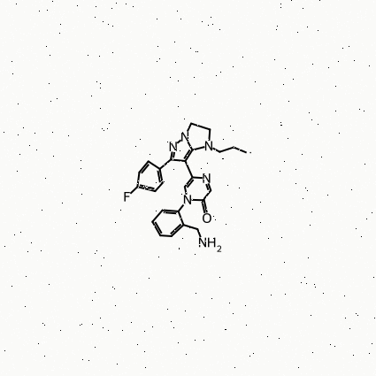 [CH2]CCN1CCn2nc(-c3ccc(F)cc3)c(-c3cn(-c4ccccc4CN)c(=O)cn3)c21